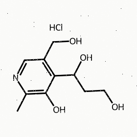 Cc1ncc(CO)c(C(O)CCO)c1O.Cl